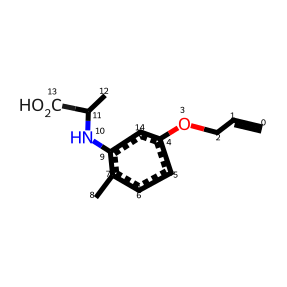 C=CCOc1ccc(C)c(NC(C)C(=O)O)c1